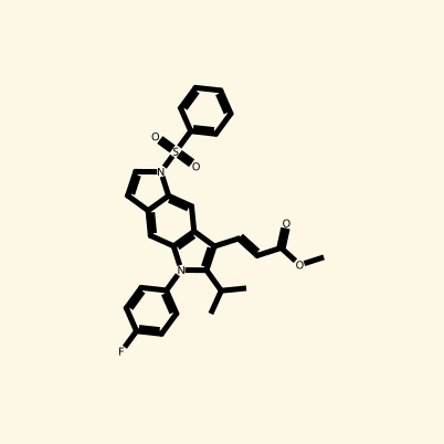 COC(=O)/C=C/c1c(C(C)C)n(-c2ccc(F)cc2)c2cc3ccn(S(=O)(=O)c4ccccc4)c3cc12